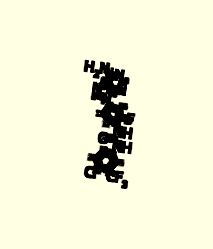 Nc1ncnc2c1ncn2-c1ccc(NC(=O)Nc2ccc(Cl)c(C(F)(F)F)c2)c(F)c1